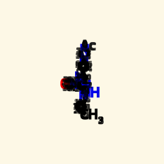 CC(=O)N1CCN(c2ccc(-c3cc4nc(N/N=C/c5cccc(C)c5)cc(N5CCOCC5)n4n3)cc2)CC1